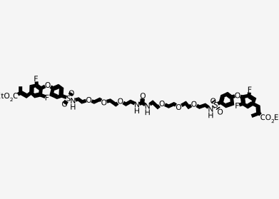 CCOC(=O)C(C)=Cc1cc(F)c(Oc2ccc(S(=O)(=O)NCCOCCOCCOCCNC(=O)NCCOCCOCCOCCNS(=O)(=O)c3ccc(Oc4c(F)cc(C=C(C)C(=O)OCC)cc4F)cc3)cc2)c(F)c1